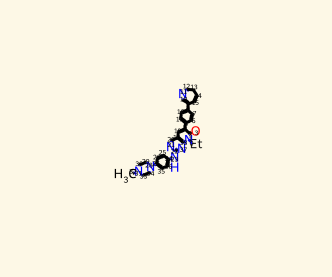 CCn1c(=O)c(-c2ccc(C3=CN=CCC=C3)cc2)cc2cnc(Nc3ccc(N4CCN(C)CC4)cc3)nc21